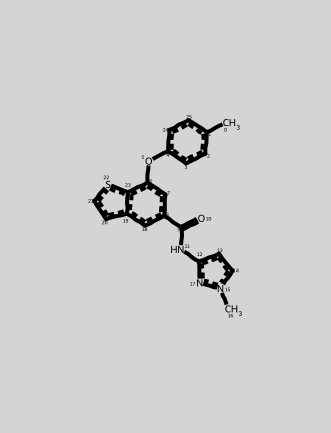 Cc1ccc(Oc2cc(C(=O)Nc3ccn(C)n3)cc3ccsc23)cc1